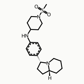 CS(=O)(=O)N1CCC(Nc2ccc([C@H]3CC[C@H]4CCCCN43)cc2)CC1